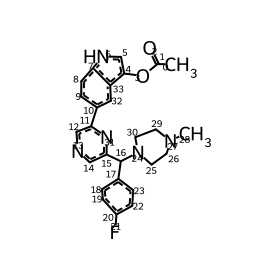 CC(=O)Oc1c[nH]c2ccc(-c3cncc(C(c4ccc(F)cc4)N4CCN(C)CC4)n3)cc12